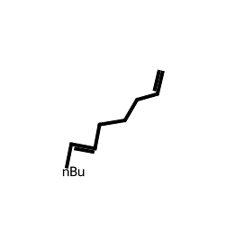 [CH2]CCCC=CCCCC=C